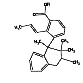 CC=Cc1c(C(=O)O)cccc1C1(C)c2ccccc2CC(C)C1(C)C